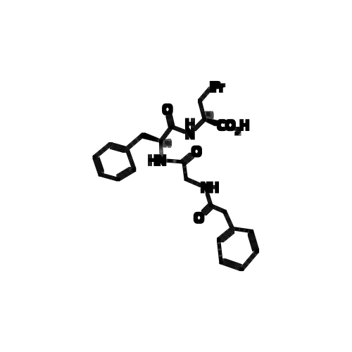 CC(C)C[C@H](NC(=O)[C@H](Cc1ccccc1)NC(=O)CNC(=O)Cc1ccccc1)C(=O)O